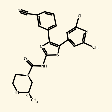 Cc1cc(-c2sc(NC(=O)N3CCN[C@H](C)C3)nc2-c2cccc(C#N)c2)cc(Cl)n1